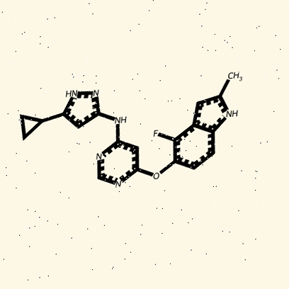 Cc1cc2c(F)c(Oc3cc(Nc4cc(C5CC5)[nH]n4)ncn3)ccc2[nH]1